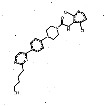 CCCCCc1nccc(-c2ccc(N3CCN(C(=O)Nc4c(Cl)cccc4Cl)CC3)cc2)n1